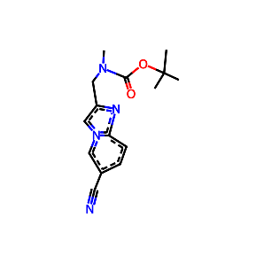 CN(Cc1cn2cc(C#N)ccc2n1)C(=O)OC(C)(C)C